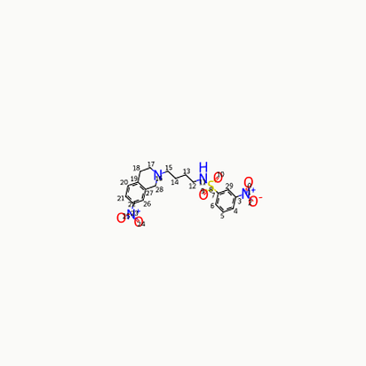 O=[N+]([O-])c1cccc(S(=O)(=O)NCCCCN2CCc3ccc([N+](=O)[O-])cc3C2)c1